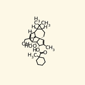 CC1=C[C@@]23CC[C@@H]4[C@H]([C@H](C=C(CO)[C@@H](O)[C@]2(O)[C@H]1OC(=O)C1(C)CCCCC1)C3=O)C4(C)C